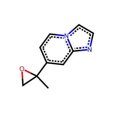 CC1(c2ccn3ccnc3c2)CO1